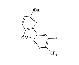 COc1ccc(C(C)(C)C)cc1-c1cnc(C(F)(F)F)c(F)c1